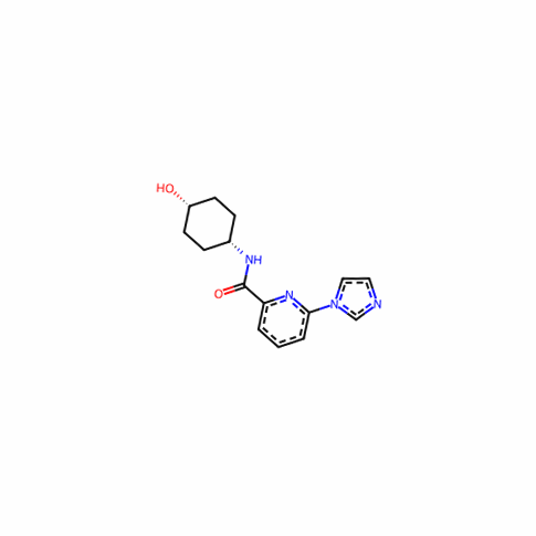 O=C(N[C@H]1CC[C@@H](O)CC1)c1cccc(-n2ccnc2)n1